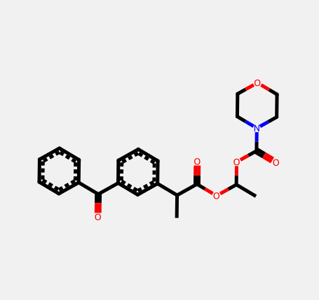 CC(OC(=O)C(C)c1cccc(C(=O)c2ccccc2)c1)OC(=O)N1CCOCC1